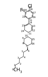 CCCCCCC[C@H]1CC[C@H](C2C=CC(c3ccc(Cl)c(F)c3)=CC2)CC1